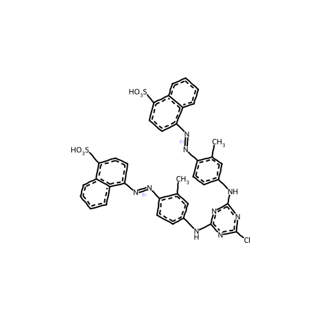 Cc1cc(Nc2nc(Cl)nc(Nc3ccc(/N=N/c4ccc(S(=O)(=O)O)c5ccccc45)c(C)c3)n2)ccc1/N=N/c1ccc(S(=O)(=O)O)c2ccccc12